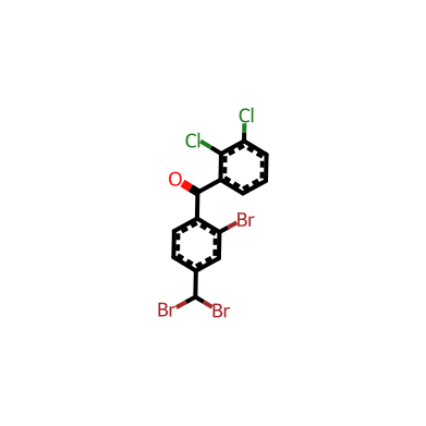 O=C(c1ccc(C(Br)Br)cc1Br)c1cccc(Cl)c1Cl